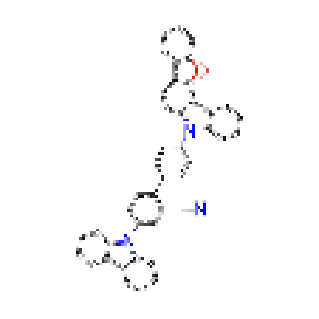 N#Cc1cc(-n2c3ccccc3c3ccccc32)ccc1-c1ccc(-n2c3ccccc3c3c4oc5ccccc5c4ccc32)cc1